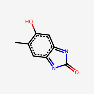 Cc1cc2c(cc1O)=NC(=O)N=2